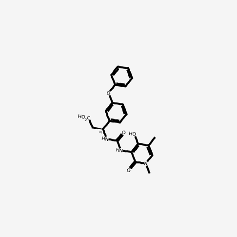 Cc1cn(C)c(=O)c(NC(=O)N[C@@H](CC(=O)O)c2cccc(Oc3ccccc3)c2)c1O